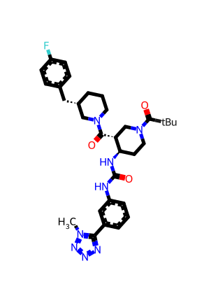 Cn1nnnc1-c1cccc(NC(=O)N[C@@H]2CCN(C(=O)C(C)(C)C)C[C@H]2C(=O)N2CCC[C@@H](Cc3ccc(F)cc3)C2)c1